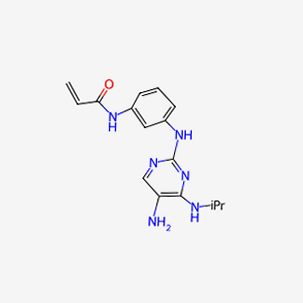 C=CC(=O)Nc1cccc(Nc2ncc(N)c(NC(C)C)n2)c1